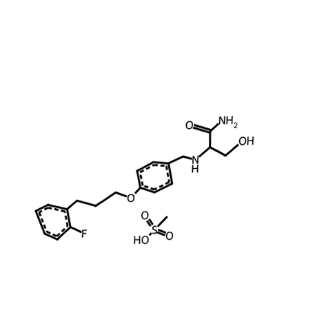 CS(=O)(=O)O.NC(=O)C(CO)NCc1ccc(OCCCc2ccccc2F)cc1